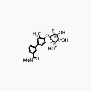 CNC(=O)c1cccc(-c2ccc(O[C@H]3O[C@H](CO)[C@@H](O)[C@H](O)[C@H]3F)c(C)c2)c1